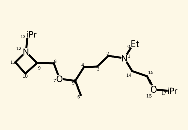 CCN(CCCC(C)OCC1CCN1C(C)C)CCOC(C)C